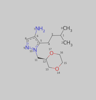 CC(C)CCc1c(N)cnn1C[C@@H]1COCCO1